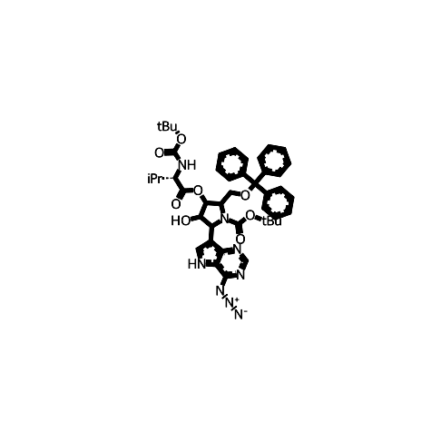 CC(C)[C@H](NC(=O)OC(C)(C)C)C(=O)OC1C(O)C(c2c[nH]c3c(N=[N+]=[N-])ncnc23)N(C(=O)OC(C)(C)C)C1COC(c1ccccc1)(c1ccccc1)c1ccccc1